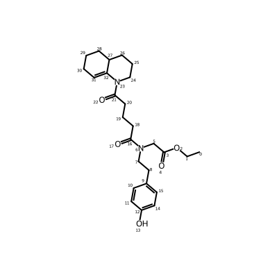 CCOC(=O)CN(CCc1ccc(O)cc1)C(=O)CCCC(=O)N1CCCC2CCCC=C21